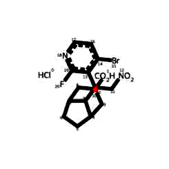 Cl.O=C(O)N1CC2CCC(C1)C2C(C[N+](=O)[O-])c1c(Br)ccnc1F